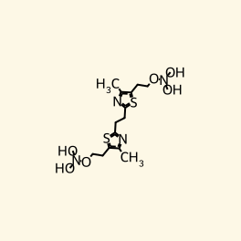 Cc1nc(CCc2nc(C)c(CCON(O)O)s2)sc1CCON(O)O